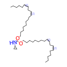 CCCCC/C=C\C/C=C\CCCCCCCCOC(NC1CC1)OCCCCCCCC/C=C\C/C=C\CCCCC